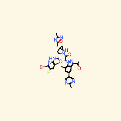 CC(=O)c1nn(CC(=O)N2[C@H](C(=O)Nc3nc(Br)c(F)cc3C)C[C@@]3(Cc4nc(C)no4)C[C@@H]23)c2c(C)cc(-c3cnc(C)nc3)cc12